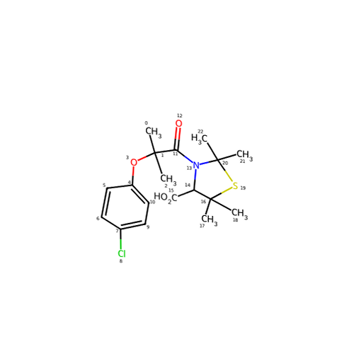 CC(C)(Oc1ccc(Cl)cc1)C(=O)N1C(C(=O)O)C(C)(C)SC1(C)C